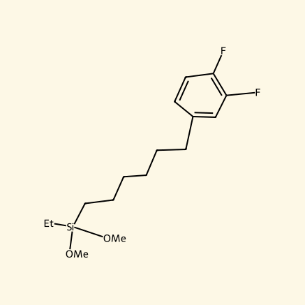 CC[Si](CCCCCCc1ccc(F)c(F)c1)(OC)OC